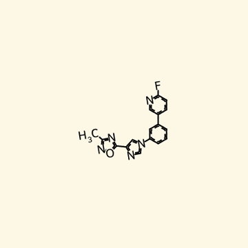 Cc1noc(-c2cn(-c3cccc(-c4ccc(F)nc4)c3)cn2)n1